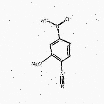 COc1cc(N([O-])O)ccc1[N+]#N